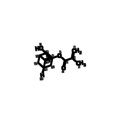 C=C(C)C(=O)OC12CC(O)=C3C(C[C@H]3C1)C2